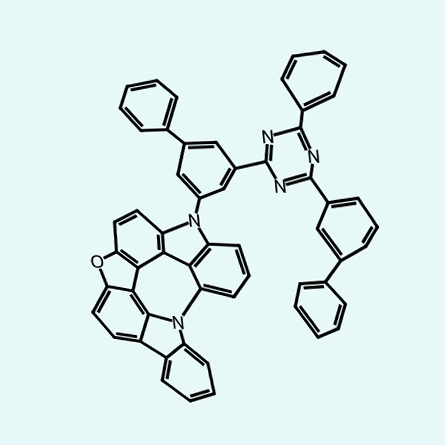 c1ccc(-c2cccc(-c3nc(-c4ccccc4)nc(-c4cc(-c5ccccc5)cc(-n5c6ccc7oc8ccc9c%10ccccc%10n%10c%11cccc5c%11c6c7c8c9%10)c4)n3)c2)cc1